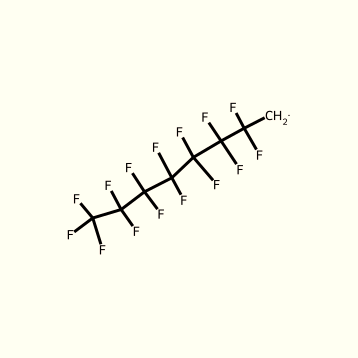 [CH2]C(F)(F)C(F)(F)C(F)(F)C(F)(F)C(F)(F)C(F)(F)C(F)(F)F